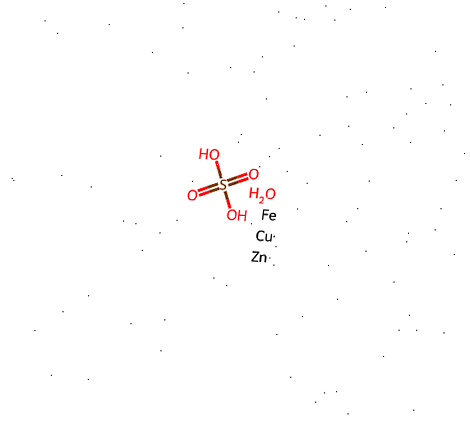 O.O=S(=O)(O)O.[Cu].[Fe].[Zn]